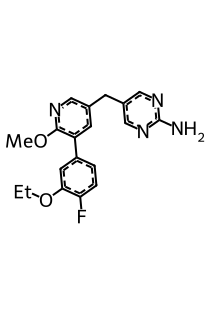 CCOc1cc(-c2cc(Cc3cnc(N)nc3)cnc2OC)ccc1F